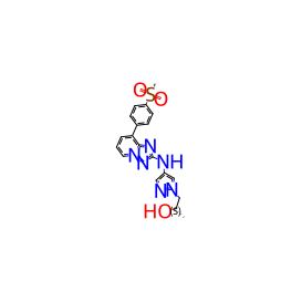 C[C@H](O)Cn1cc(Nc2nc3c(-c4ccc(S(C)(=O)=O)cc4)cccn3n2)cn1